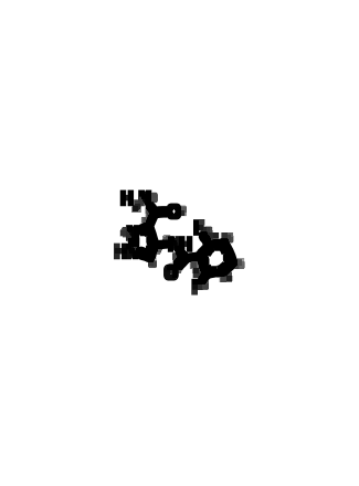 NC(=O)c1n[nH]cc1NC(=O)c1c(F)cccc1F